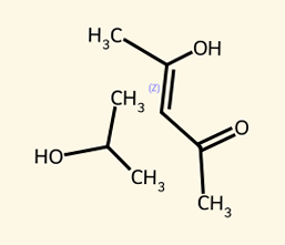 CC(=O)/C=C(/C)O.CC(C)O